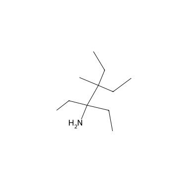 CCC(C)(CC)C(N)(CC)CC